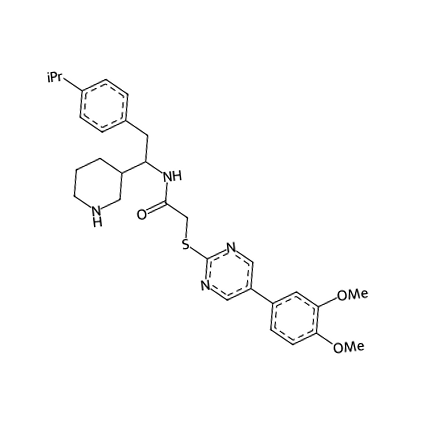 COc1ccc(-c2cnc(SCC(=O)NC(Cc3ccc(C(C)C)cc3)C3CCCNC3)nc2)cc1OC